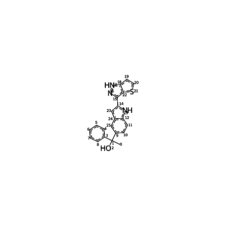 CC(O)(c1ccccc1)c1ccc2[nH]c(-c3n[nH]c4ccsc34)cc2c1